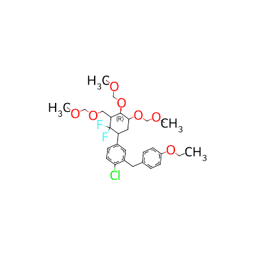 CCOc1ccc(Cc2cc(C3CC(OCOC)[C@H](OCOC)C(COCOC)C3(F)F)ccc2Cl)cc1